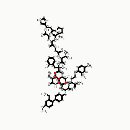 CCc1cc(OC)ccc1-c1ccc(C[C@H](NC(=O)[C@H](CC(=O)O)NC(=O)[C@H](CO)NC(=O)[C@@H](NC(=O)[C@](C)(Cc2ccccc2F)NC(=O)[C@@H](NC(=O)CNC(=O)[C@H](CCC(=O)O)NC(=O)[C@]2(C)CCCN2C(=O)CCc2c[nH]cn2)[C@@H](C)O)[C@@H](C)O)C(=O)N[C@@H](CCOc2ccc(C)cc2C)C(N)=O)cc1